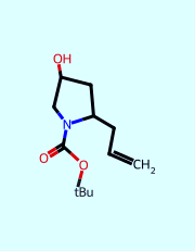 C=CCC1CC(O)CN1C(=O)OC(C)(C)C